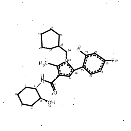 Cc1c(C(=O)N[C@H]2CCCC[C@@H]2O)cc(-c2ccc(F)cc2F)n1CC1CCCCC1